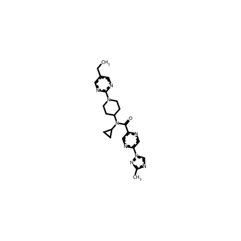 CCc1cnc(N2CCC(N(C(=O)c3cnc(-n4cnc(C)n4)cn3)C3CC3)CC2)nc1